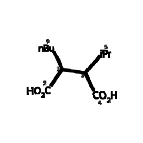 CCCCC(C(=O)O)C(C(=O)O)C(C)C